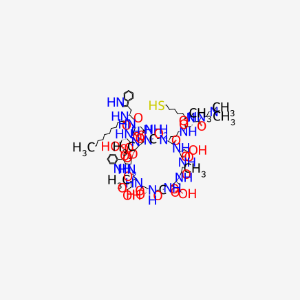 CCCCCCCCCC(=O)N[C@@H](Cc1c[nH]c2ccccc12)C(=O)N[C@H](CC(N)=O)C(=O)N[C@@H](CC(=O)O)C(=O)N[C@@H]1C(=O)NCC(=O)N[C@@H](CCCNC(=O)C[C@@H](C(=O)NCCN(C)C)N(C)C(=O)CCCCCS)C(=O)N[C@@H](CC(=O)O)C(=O)N[C@H](C)C(=O)N[C@@H](CC(=O)O)C(=O)NCC(=O)N[C@H](CO)C(=O)NC(C(C)CC(=O)O)C(=O)N[C@@H](CC(=O)c2ccccc2N)C(=O)O[C@@H]1C